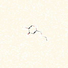 CCOCc1cc(=O)c(O)co1